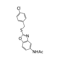 CC(=O)Nc1ccc2oc(SCc3ccc(Cl)cc3)nc2c1